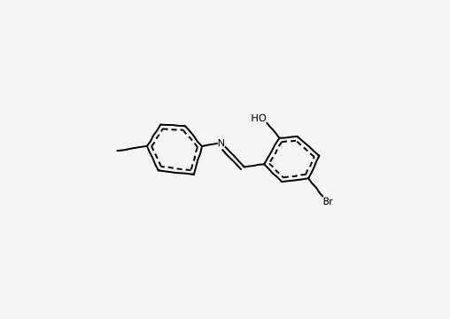 Cc1ccc(/N=C/c2cc(Br)ccc2O)cc1